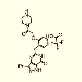 CC(C)c1n[nH]c2c(=O)[nH]c(Cc3ccccc3OCC(=O)N3CCNCC3)nc12.O=C(O)C(F)(F)F